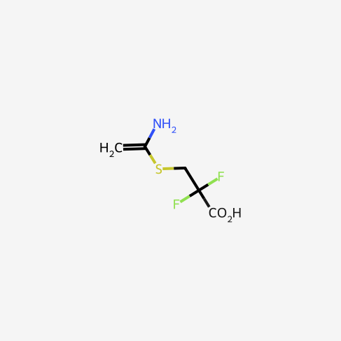 C=C(N)SCC(F)(F)C(=O)O